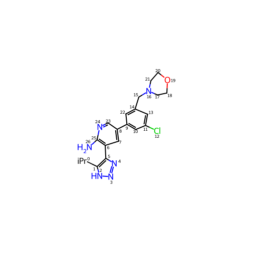 CC(C)c1[nH]nnc1-c1cc(-c2cc(Cl)cc(CN3CCOCC3)c2)cnc1N